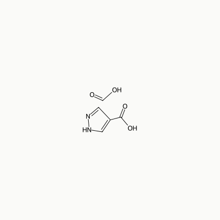 O=C(O)c1cn[nH]c1.O=CO